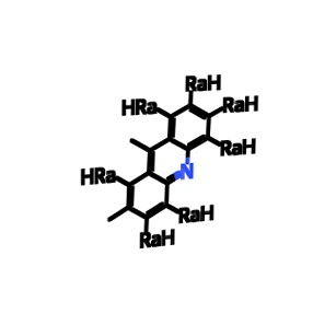 Cc1[c]([RaH])[c]([RaH])c2nc3[c]([RaH])[c]([RaH])[c]([RaH])[c]([RaH])c3c(C)c2[c]1[RaH]